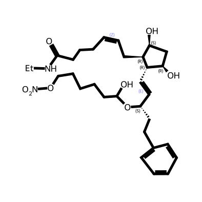 CCNC(=O)CCC/C=C\C[C@@H]1[C@@H](/C=C/[C@H](CCc2ccccc2)OC(O)CCCCCO[N+](=O)[O-])[C@H](O)C[C@@H]1O